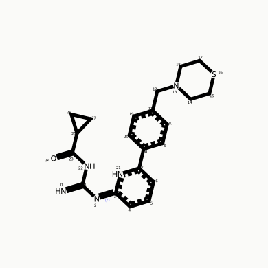 N=C(/N=c1/cccc(-c2ccc(CN3CCSCC3)cc2)[nH]1)NC(=O)C1CC1